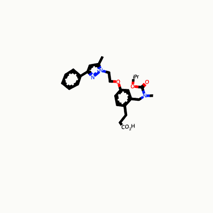 Cc1cc(-c2ccccc2)nn1CCOc1ccc(CCC(=O)O)c(CN(C)C(=O)OC(C)C)c1